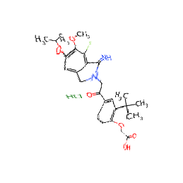 COc1c(OC(C)C)cc2c(c1F)C(=N)N(CC(=O)c1ccc(OCC(=O)O)c(C(C)(C)C)c1)C2.Cl